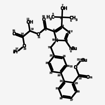 CCCCc1nc(C(C)(C)O)c(C(=O)OC(O)C(=O)OC(C)C)n1Cc1ccc(-c2ccccc2C(=O)OC(C)(C)C)cc1